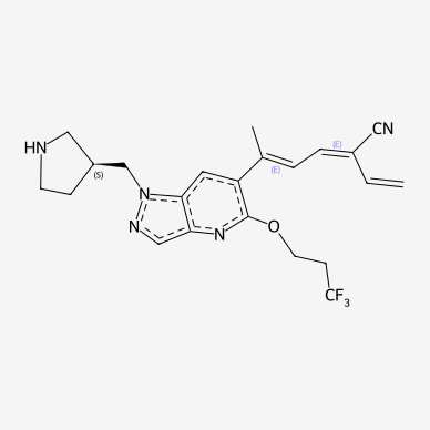 C=C/C(C#N)=C\C=C(/C)c1cc2c(cnn2C[C@H]2CCNC2)nc1OCCC(F)(F)F